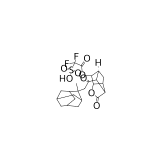 CC1(CC(=O)C2C3C(=O)OC4C3C[C@@H]2C4OC(=O)C(F)(F)S(=O)(=O)O)C2CC3CC(C2)CC1C3